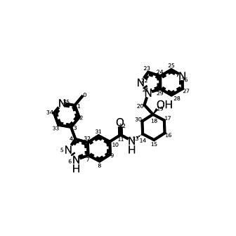 Cc1cc(-c2n[nH]c3ccc(C(=O)N[C@H]4CCC[C@@](O)(Cn5ncc6cnccc65)C4)cc23)ccn1